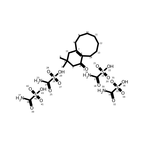 CC1(C)CC(=O)C2=C(CCCCCCC2)C1.NC(=O)S(=O)(=O)O.NC(=O)S(=O)(=O)O.NC(=O)S(=O)(=O)O.NC(=O)S(=O)(=O)O